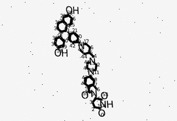 O=C1CC[C@H](N2Cc3cc(N4CCN(CC5CCN(c6ccc([C@@H]7c8ccc(O)cc8CC[C@@H]7c7ccc(O)cc7)cc6)CC5)CC4)ccc3C2=O)C(=O)N1